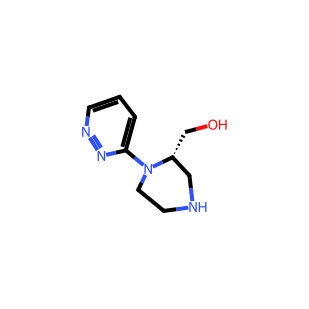 OC[C@@H]1CNCCN1c1cccnn1